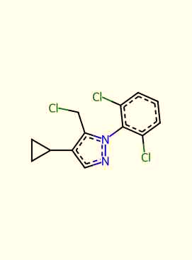 ClCc1c(C2CC2)cnn1-c1c(Cl)cccc1Cl